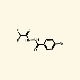 O=C(NNC(=O)C(F)F)c1ccc(Br)cc1